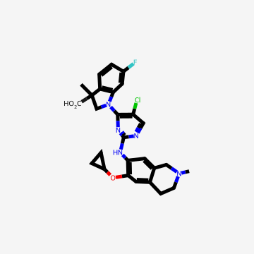 CN1CCc2cc(OC3CC3)c(Nc3ncc(Cl)c(N4CC(C)(C(=O)O)c5ccc(F)cc54)n3)cc2C1